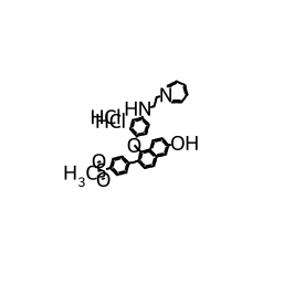 CS(=O)(=O)c1ccc(-c2ccc3cc(O)ccc3c2Oc2ccc(NCCN3C=CC=CC=C3)cc2)cc1.Cl.Cl